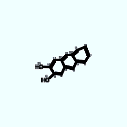 Oc1cc2cc3ccccc3cc2cc1O